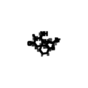 CN1C(=N)N[C@@]2(CCCc3sc(Br)cc32)CC1=O